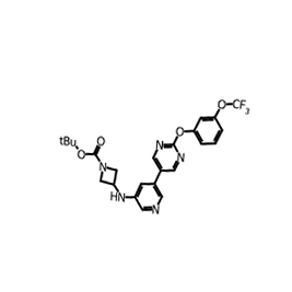 CC(C)(C)OC(=O)N1CC(Nc2cncc(-c3cnc(Oc4cccc(OC(F)(F)F)c4)nc3)c2)C1